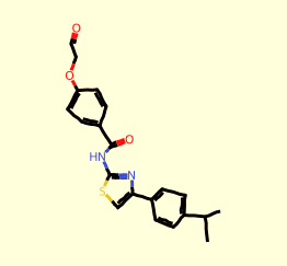 CC(C)c1ccc(-c2csc(NC(=O)c3ccc(OCC=O)cc3)n2)cc1